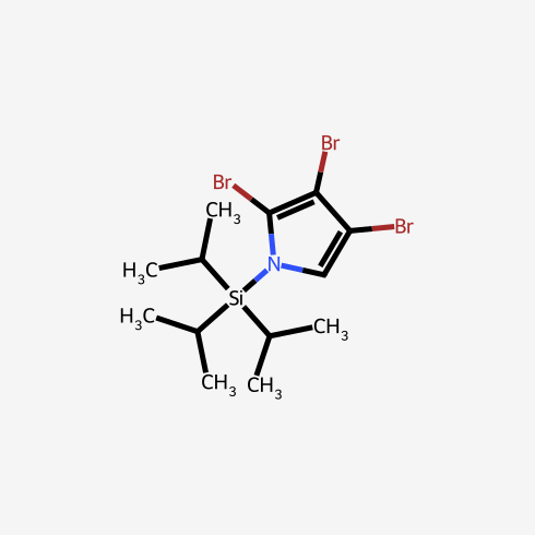 CC(C)[Si](C(C)C)(C(C)C)n1cc(Br)c(Br)c1Br